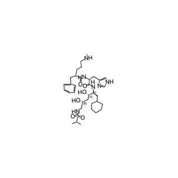 CNCCCC(Cc1ccccc1)C(=O)NC(Cc1c[nH]cn1)C(=O)N[C@@H](CC1CCCCC1)[C@@H](O)C[C@@H](O)CNS(=O)(=O)C(C)C